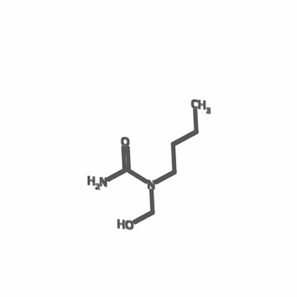 CCCCN(CO)C(N)=O